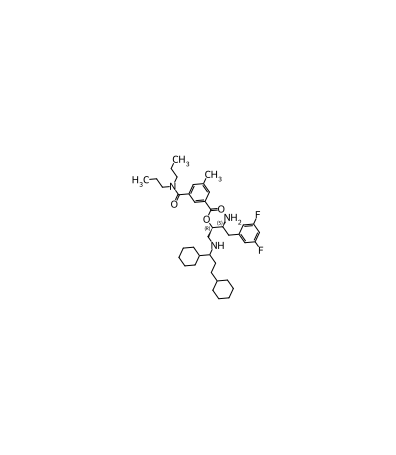 CCCN(CCC)C(=O)c1cc(C)cc(C(=O)O[C@H](CNC(CCC2CCCCC2)C2CCCCC2)[C@@H](N)Cc2cc(F)cc(F)c2)c1